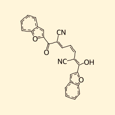 N#C\C(=C/C=C\C(C#N)=C(/O)c1cc2ccccc2o1)C(=O)c1cc2ccccc2o1